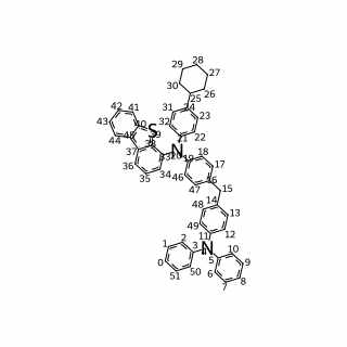 c1ccc(N(c2ccccc2)c2ccc(Cc3ccc(N(c4ccc(C5CCCCC5)cc4)c4cccc5c4sc4ccccc45)cc3)cc2)cc1